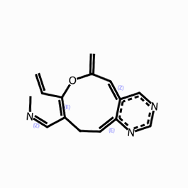 C=C/C1=C(\C=N/C)C/C=c2/ncnc/c2=C/C(=C)O1